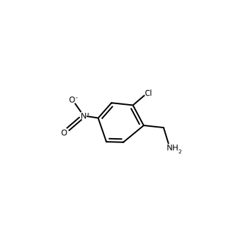 NCc1ccc([N+](=O)[O-])cc1Cl